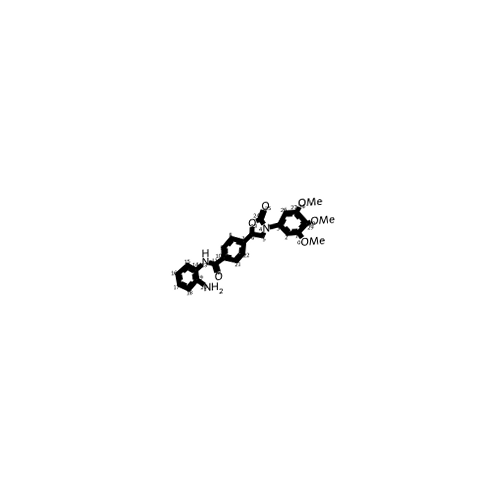 COc1cc(N2CC(c3ccc(C(=O)Nc4ccccc4N)cc3)OC2=O)cc(OC)c1OC